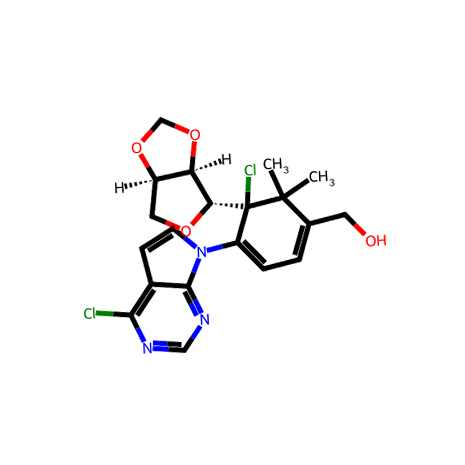 CC1(C)C(CO)=CC=C(n2ccc3c(Cl)ncnc32)C1(Cl)[C@@H]1OC[C@H]2OCO[C@@H]12